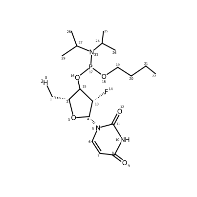 [2H]C[C@H]1O[C@@H](n2ccc(=O)[nH]c2=O)[C@@H](F)C1OP(OCCCC)N(C(C)C)C(C)C